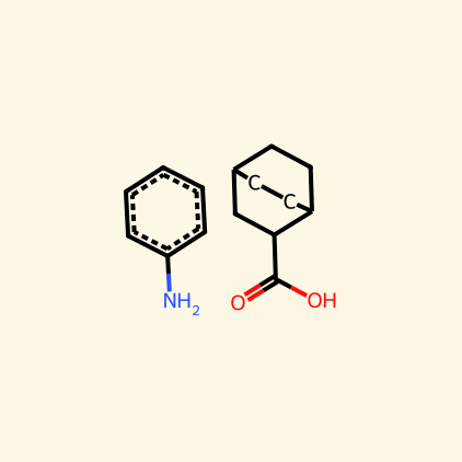 Nc1ccccc1.O=C(O)C1CC2CCC1CC2